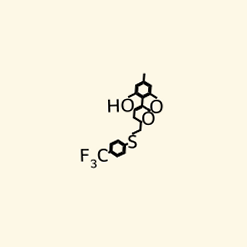 Cc1cc(C)c(C2=C(O)CC(CCSc3ccc(C(F)(F)F)cc3)OC2=O)c(C)c1